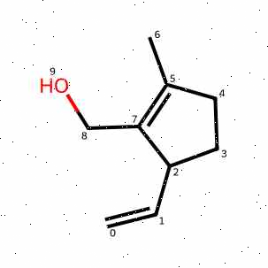 C=CC1CCC(C)=C1CO